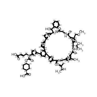 CNC(=O)C[C@@H]1NC(=O)c2csc(n2)-c2ccc(-c3nc(N(C/C=C/C(=O)O)C(=O)O[C@H]4CC[C@H](C(=O)O)CC4)cs3)nc2-c2csc(n2)-c2csc(n2)[C@H]([C@@H](O)c2ccccc2)NC(=O)CNC(=O)c2nc(sc2COC)[C@H](C(C)C)NC(=O)c2nc1sc2C